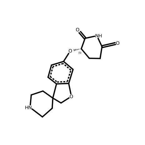 O=C1CC[C@H](Oc2ccc3c(c2)OCC32CCNCC2)C(=O)N1